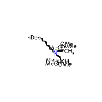 CCCCCCCCCCCCCCCCCCN(CCC(C)[Si](OC)(OC)OC)CCC(C)[Si](OC)(OC)OC